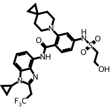 O=C(Nc1cccc2c1nc(CC(F)(F)F)n2C1CC1)c1ccc(NS(=O)(=O)CCO)cc1N1CCC2(CC1)CC2